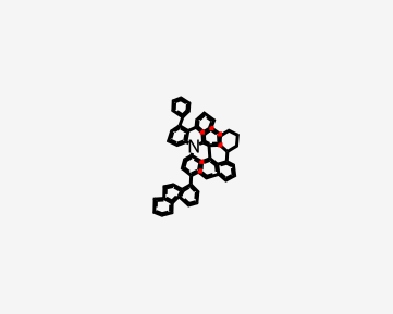 c1ccc(-c2cccc(N(c3ccc(-c4cccc5c4ccc4ccccc45)cc3)c3ccccc3-c3cccc4cccc(C5CCCCC5)c34)c2-c2ccccc2)cc1